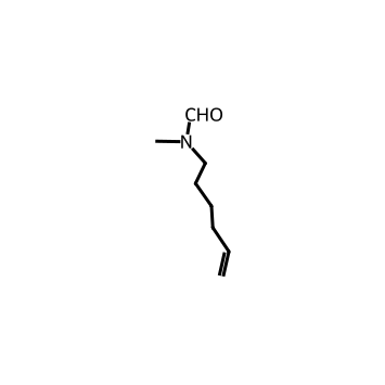 C=CCCCCN(C)C=O